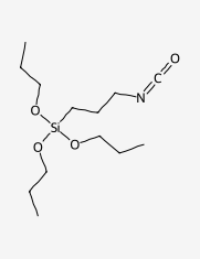 CCCO[Si](CCCN=C=O)(OCCC)OCCC